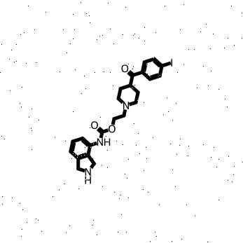 O=C(Nc1cccc2c1CNC2)OCCN1CCC(C(=O)c2ccc(I)cc2)CC1